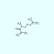 C=C(C)C(=O)C(C)[CH]CCN(C)C